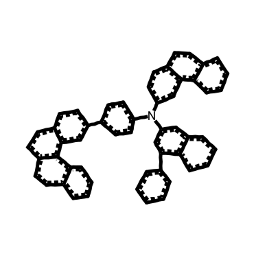 c1ccc(-c2cc(N(c3ccc(-c4ccc5ccc6ccc7ccccc7c6c5c4)cc3)c3ccc4ccc5ccccc5c4c3)cc3ccccc23)cc1